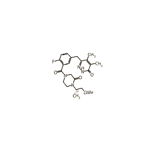 COC[C@H](C)N1CCN(C(=O)c2cc(Cc3n[nH]c(=O)c(C)c3C)ccc2F)CC1=O